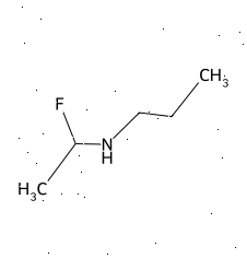 CCCNC(C)F